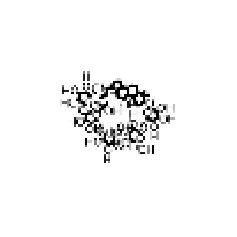 C[C@H](CC[C@@H](O[C@@H]1O[C@H](CO[C@H]2O[C@H](CO)[C@@H](O)[C@H](O)[C@H]2O)[C@@H](O)[C@H](O)[C@H]1O[C@@H]1O[C@H](CO)[C@@H](O)[C@H](O)[C@H]1O)C(C)(C)O)C1CC[C@@]2(C)C3CC=C4C(CC[C@H](O[C@@H]5O[C@H](CO[C@H]6O[C@H](CO)[C@@H](O)[C@H](O)[C@H]6O)[C@@H](O)[C@H](O)[C@H]5O)C4(C)C)[C@]3(C)[C@H](O)C[C@]12C